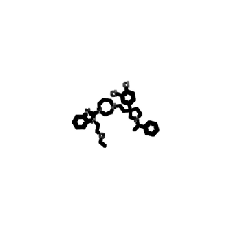 CCOCCn1c(N2CCCN(CCC3(c4ccc(Cl)c(Cl)c4)CCN(C(C)c4ccccc4)C3)CC2)nc2ccccc21